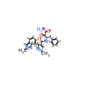 Cn1cc(C(=O)NC(Cc2ccccc2)C(=O)C(N)=O)c(-c2cccc3cn(C)nc23)n1